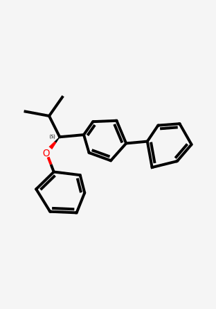 CC(C)[C@H](Oc1ccccc1)c1ccc(-c2ccccc2)cc1